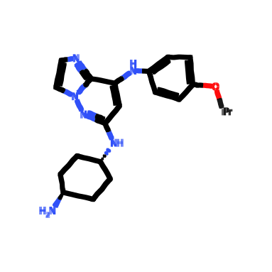 CC(C)Oc1ccc(Nc2cc(N[C@H]3CC[C@H](N)CC3)nn3ccnc23)cc1